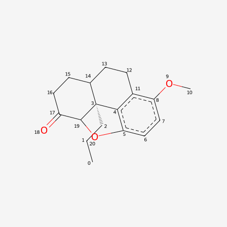 CCC[C@@]12c3c4ccc(OC)c3CCC1CCC(=O)C2O4